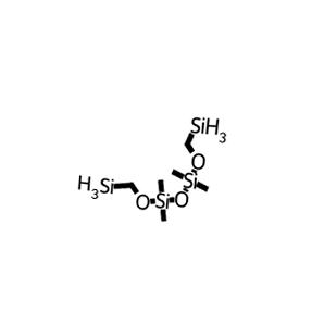 C[Si](C)(OC[SiH3])O[Si](C)(C)OC[SiH3]